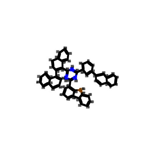 c1cc(-c2ccc3ccccc3c2)cc(-c2nc(-c3c(-c4cccc5ccccc45)ccc4ccccc34)nc(-c3cccc4c3sc3ccccc34)n2)c1